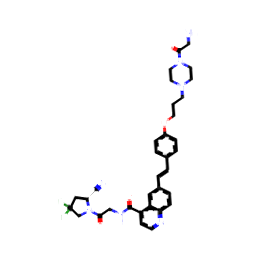 N#C[C@@H]1CC(F)(F)CN1C(=O)CNC(=O)c1ccnc2ccc(/C=C/c3ccc(OCCCN4CCN(C(=O)CN)CC4)cc3)cc12